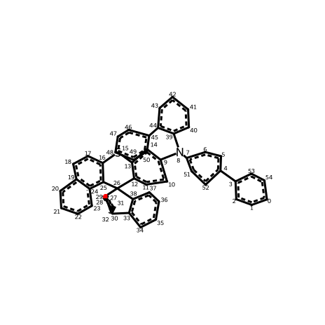 c1ccc(-c2ccc(N(c3ccc4c(c3)Sc3ccc5ccccc5c3C43c4ccccc4-c4ccccc43)c3ccccc3-c3ccccc3)cc2)cc1